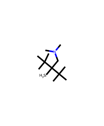 CN(C)CC([SiH3])(C(C)(C)C)C(C)(C)C